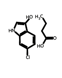 CCCC(=O)O.Oc1c[nH]c2cc(Cl)ccc12